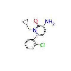 Nc1ccc(-c2ccccc2Cl)n(CC2CC2)c1=O